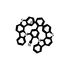 N#Cc1c(-n2c3ccccc3c3ccc4sc5ccccc5c4c32)cc(-c2c(F)cccc2F)cc1-n1c2ccccc2c2ccc3sc4ccccc4c3c21